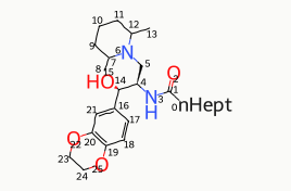 CCCCCCCC(=O)N[C@H](CN1C(C)CCCC1C)[C@H](O)c1ccc2c(c1)OCCO2